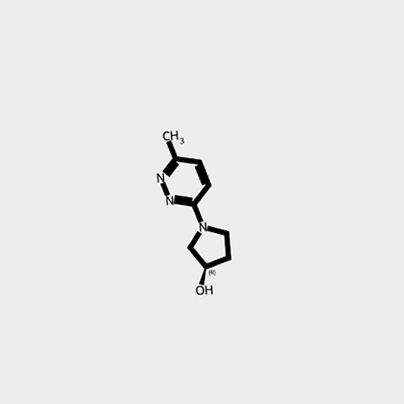 Cc1ccc(N2CC[C@@H](O)C2)nn1